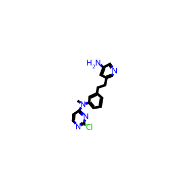 CN(c1cccc(CCc2cncc(N)c2)c1)c1ccnc(Cl)n1